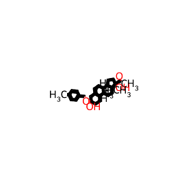 CC(=O)[C@@]1(O)CC[C@H]2[C@@H]3CC=C4CC(O)(OCc5ccc(C)cc5)CC[C@]4(C)[C@H]3CC[C@@]21C